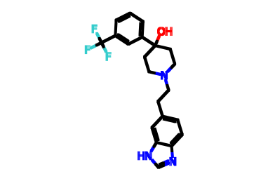 OC1(c2cccc(C(F)(F)F)c2)CCN(CCc2ccc3nc[nH]c3c2)CC1